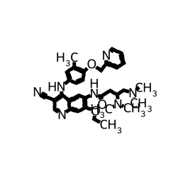 CCOc1cc2ncc(C#N)c(Nc3ccc(OCc4ccccn4)c(C)c3)c2cc1NC(=O)CC(CN(C)C)N(C)C